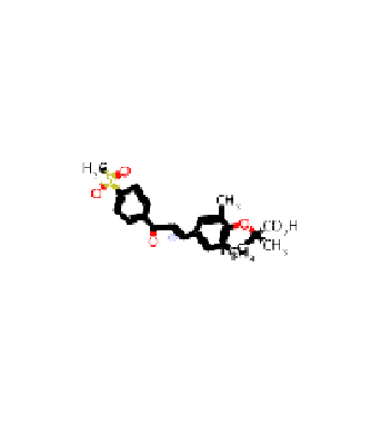 Cc1cc(/C=C/C(=O)c2ccc(S(C)(=O)=O)cc2)cc(C)c1OC(C)(C)C(=O)O